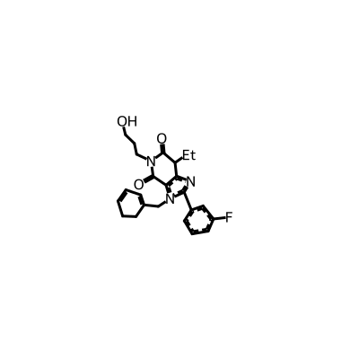 CCC1C(=O)N(CCCO)C(=O)c2c1nc(-c1cccc(F)c1)n2CC1=CC=CCC1